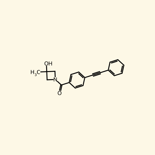 CC1(O)CN(C(=O)c2ccc(C#Cc3ccccc3)cc2)C1